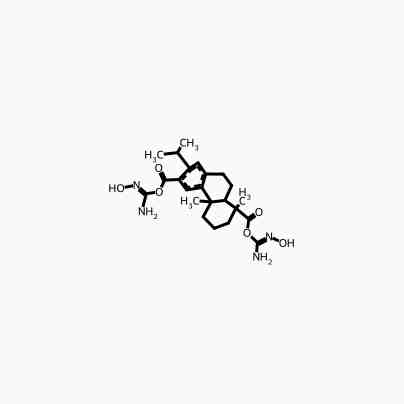 CC(C)c1cc2c(cc1C(=O)OC(N)=NO)C1(C)CCCC(C)(C(=O)OC(N)=NO)C1CC2